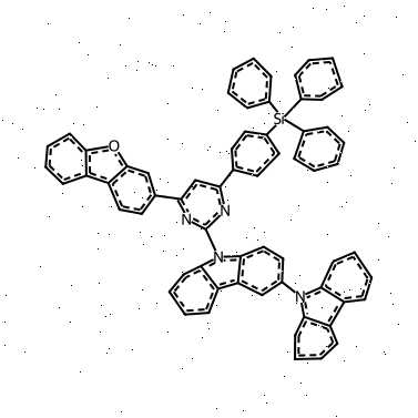 c1ccc([Si](c2ccccc2)(c2ccccc2)c2ccc(-c3cc(-c4ccc5c(c4)oc4ccccc45)nc(-n4c5ccccc5c5cc(-n6c7ccccc7c7ccccc76)ccc54)n3)cc2)cc1